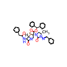 C[C@H]1CN([C@]2(C(=O)OC(c3ccccc3)c3ccccc3)CN3C(=O)[C@@H](NC(=O)Cc4ccccc4)[C@H]3S2)C(=O)N1/N=C/c1ccccc1